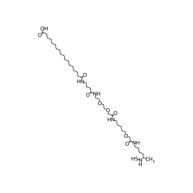 C[C@H](CCCCNC(=O)COCCCCCNC(=O)COCCOCCNC(=O)CCCNC(=O)CCCCCCCCCCCCCCCCC(=O)O)NS